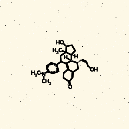 CN(C)c1ccc(C2C[C@]3(C)[C@@H](O)CC[C@H]3[C@H]3C2=C2CCC(=O)C=C2C[C@H]3/C=C\CO)cc1